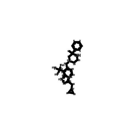 CC1(c2ccccc2)CN(Cc2ccn3c(CC4CC4)nnc3c2C(F)(F)F)CCN1